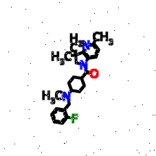 Cc1ccc2c(n1)C(C)(C)CN2C(=O)C1CCC(N(C)Cc2ccccc2F)CC1